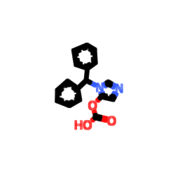 O=C(O)Oc1cncn1C(c1ccccc1)c1ccccc1